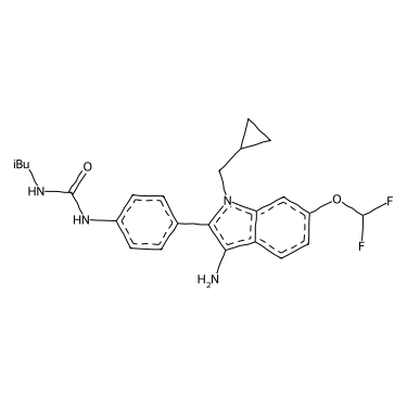 CCC(C)NC(=O)Nc1ccc(-c2c(N)c3ccc(OC(F)F)cc3n2CC2CC2)cc1